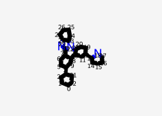 c1ccc(-c2ccc3c(c2)c2cc(-c4ccccn4)ccc2n2c4ccccc4nc32)cc1